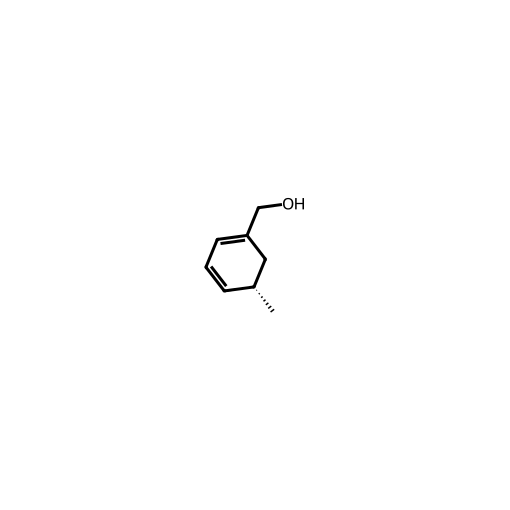 C[C@@H]1C=CC=C(CO)C1